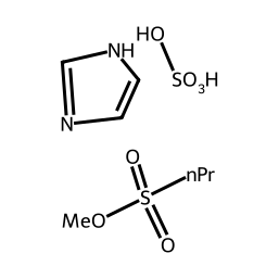 CCCS(=O)(=O)OC.O=S(=O)(O)O.c1c[nH]cn1